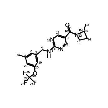 Cc1cc(CNc2ncc(C(=O)N3CC[C@@H]3C)cn2)cc(OC(F)(F)F)c1